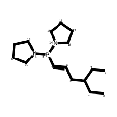 CCC(CC)CC=CP(N1CCCC1)N1CCCC1